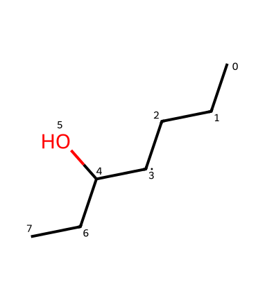 CCC[CH]C(O)CC